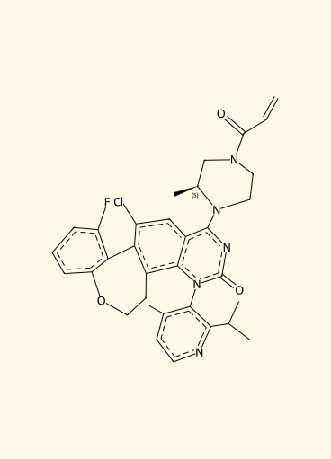 C=CC(=O)N1CCN(c2nc(=O)n(-c3c(C)ccnc3C(C)C)c3c4c(c(Cl)cc23)-c2c(F)cccc2OCC4)[C@@H](C)C1